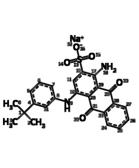 CC(C)(C)c1cccc(Nc2cc(S(=O)(=O)[O-])c(N)c3c2C(=O)c2ccccc2C3=O)c1.[Na+]